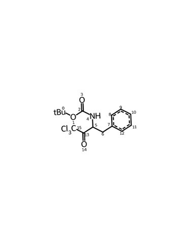 CC(C)(C)OC(=O)NC(Cc1ccccc1)C(=O)C(Cl)(Cl)Cl